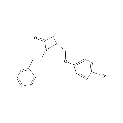 O=C1CC(COc2ccc(Br)cc2)N1OCc1ccccc1